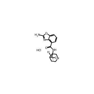 Cl.Nc1nc2c(C(=O)N[C@@H]3CN4CCC3CC4)cccc2o1